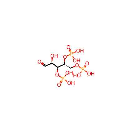 O=C[C@@H](O)[C@H](OP(=O)(O)O)[C@@H](COP(=O)(O)O)OP(=O)(O)O